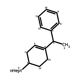 CCCCCCCC1CC=C(C(C)c2ccccc2)CC1